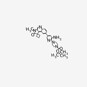 CN1C(=O)C2(CCC2)c2c1cnc1ccc(-c3cnc(N4CCN(C(=O)OC(C)(C)C)CC4)c(N)c3)cc21